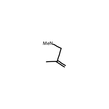 C=C(C)CNC